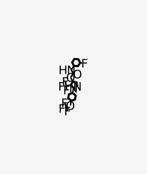 O=C(Nc1cccc(F)c1)Oc1cnn(-c2ccc(OC(F)(F)F)cc2)c1C(F)(F)F